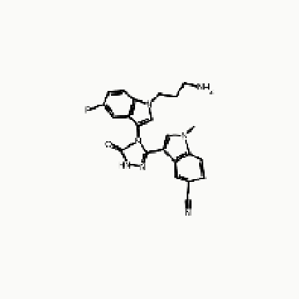 Cn1cc(-c2n[nH]c(=O)n2-c2cn(CCCN)c3ccc(F)cc23)c2cc(C#N)ccc21